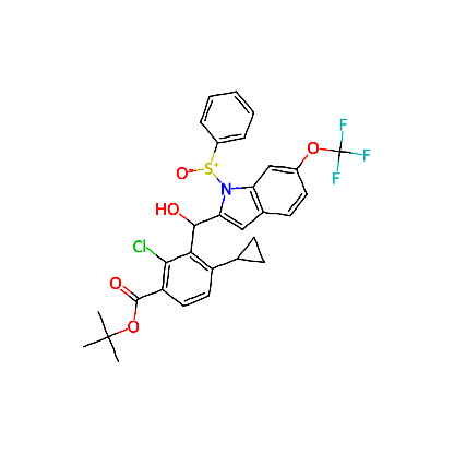 CC(C)(C)OC(=O)c1ccc(C2CC2)c(C(O)c2cc3ccc(OC(F)(F)F)cc3n2[S+]([O-])c2ccccc2)c1Cl